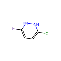 ClC1=CC=C(I)NN1